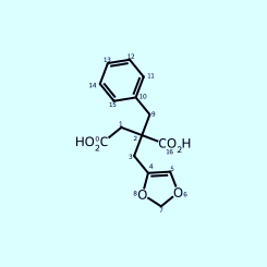 O=C(O)CC(CC1=COCO1)(Cc1ccccc1)C(=O)O